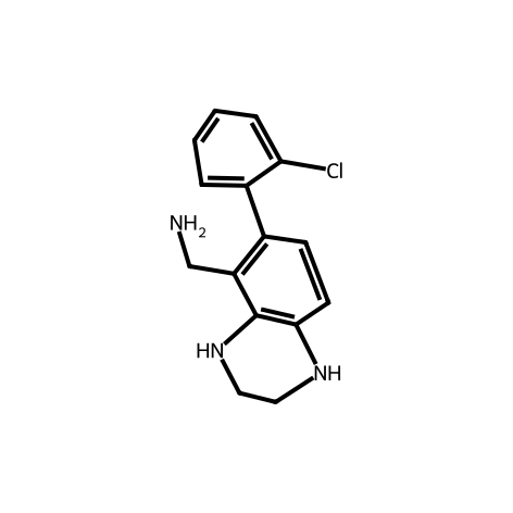 NCc1c(-c2ccccc2Cl)ccc2c1NCCN2